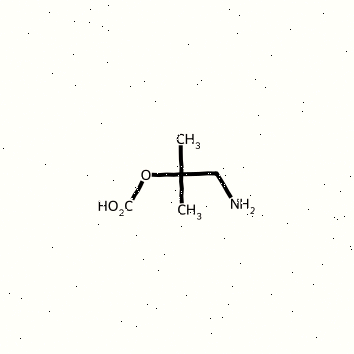 CC(C)(CN)OC(=O)O